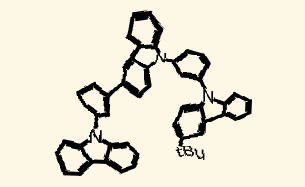 CC(C)(C)c1ccc2c(c1)c1ccccc1n2-c1cccc(-n2c3ccccc3c3cc(-c4cccc(-n5c6ccccc6c6ccccc65)c4)ccc32)c1